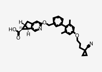 Cc1cc(OCCCC2(C#N)CC2)cc(C)c1-c1cccc(COc2cc3c(cn2)[C@@H]2[C@@H](C3)[C@@H]2C(=O)O)c1